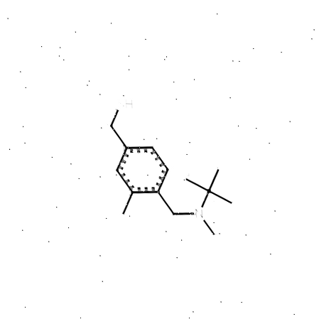 Cc1cc(CS)ccc1CN(C)C(C)(C)C